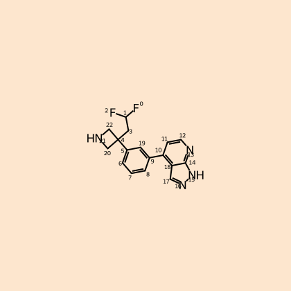 FC(F)CC1(c2cccc(-c3ccnc4[nH]ncc34)c2)CNC1